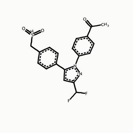 CC(=O)c1ccc(-n2nc(C(F)F)cc2-c2ccc(C[SH](=O)=O)cc2)cc1